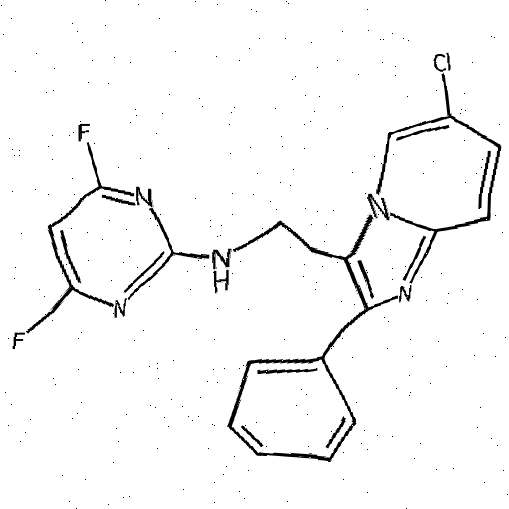 Fc1cc(F)nc(NCc2c(-c3ccccc3)nc3ccc(Cl)cn23)n1